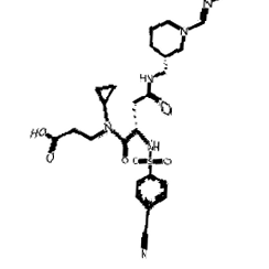 N#Cc1ccc(S(=O)(=O)N[C@@H](CC(=O)NC[C@@H]2CCCN(C=NN)C2)C(=O)N(CCC(=O)O)C2CC2)cc1